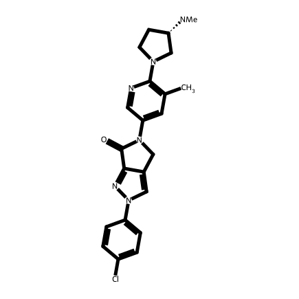 CN[C@H]1CCN(c2ncc(N3Cc4cn(-c5ccc(Cl)cc5)nc4C3=O)cc2C)C1